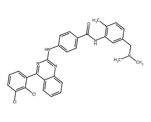 Cc1ccc(CN(C)C)cc1NC(=O)c1ccc(Nc2nc(-c3cccc(Cl)c3Cl)c3ccccc3n2)cc1